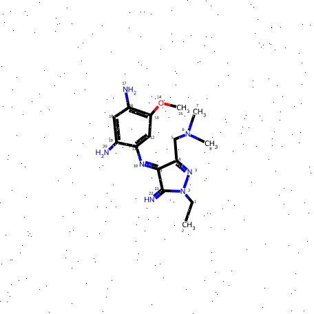 CCN1N=C(CN(C)C)C(=Nc2cc(OC)c(N)cc2N)C1=N